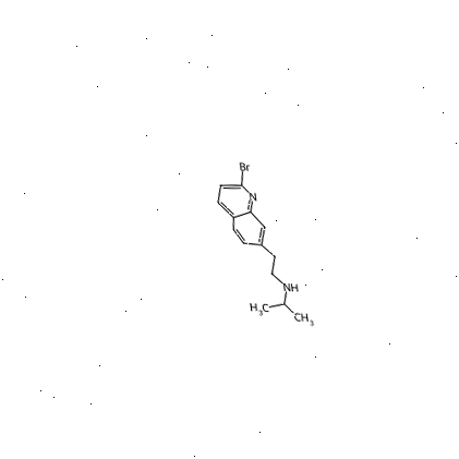 CC(C)NCCc1ccc2ccc(Br)nc2c1